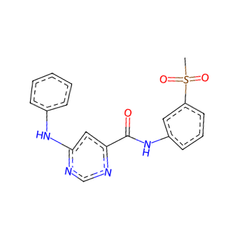 CS(=O)(=O)c1cccc(NC(=O)c2cc(Nc3ccccc3)ncn2)c1